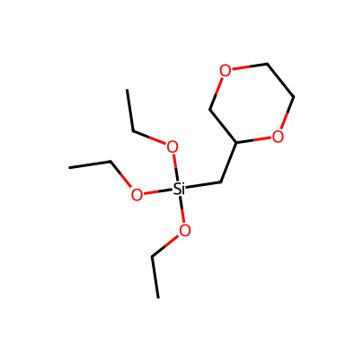 CCO[Si](CC1COCCO1)(OCC)OCC